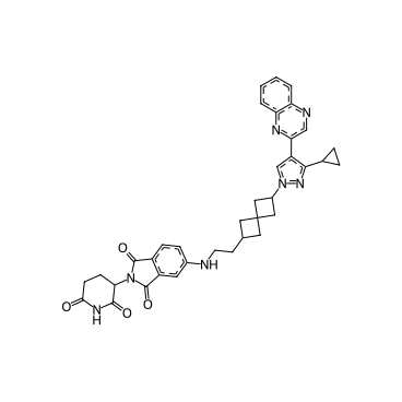 O=C1CCC(N2C(=O)c3ccc(NCCC4CC5(C4)CC(n4cc(-c6cnc7ccccc7n6)c(C6CC6)n4)C5)cc3C2=O)C(=O)N1